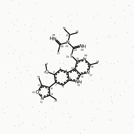 COc1cc2c(cc1-c1c(C)noc1C)[nH]c1nc(C)nc(SC(=N)N(C(C)=N)C(C)C)c12